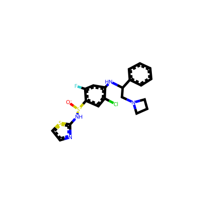 [O-][S+](Nc1nccs1)c1cc(Cl)c(NC(CN2CCC2)c2ccccc2)cc1F